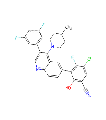 CC1CCN(c2c(-c3cc(F)cc(F)c3)cnc3ccc(-c4c(O)c(C#N)cc(Cl)c4F)cc23)CC1